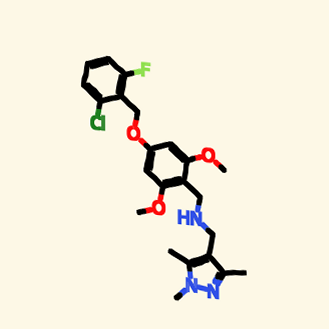 COc1cc(OCc2c(F)cccc2Cl)cc(OC)c1CNCc1c(C)nn(C)c1C